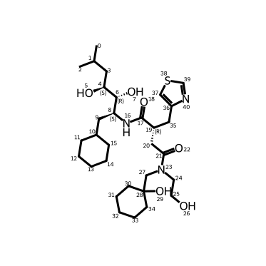 CC(C)C[C@H](O)[C@H](O)[C@H](CC1CCCCC1)NC(=O)[C@@H](CC(=O)N(CCO)CC1(O)CCCCC1)Cc1cscn1